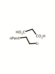 O=C(O)CC(=O)O.[Li][CH2]CCCCCC